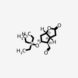 CC[Si](CC)(CC)O[C@@H]1C[C@@H]2OC(=O)C[C@@H]2[C@H]1C=O